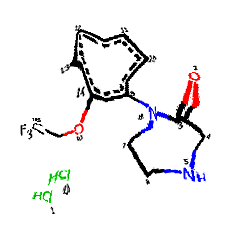 Cl.Cl.O=C1CNCCN1c1ccccc1OC(F)(F)F